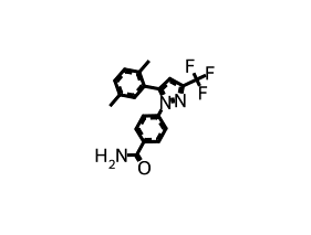 Cc1ccc(C)c(-c2cc(C(F)(F)F)nn2-c2ccc(C(N)=O)cc2)c1